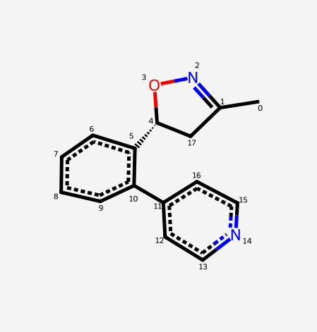 CC1=NO[C@@H](c2ccccc2-c2ccncc2)C1